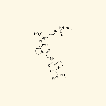 CC(C)[C@H](N)C(=O)N1CCC[C@H]1C(=O)NCC(=O)N1CCC[C@H]1C(=O)N[C@@H](CCCNC(=N)N[N+](=O)[O-])C(=O)O